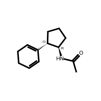 CC(=O)N[C@@H]1CCC[C@H]1C1=CCCC=C1